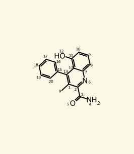 Cc1c(C(N)=O)nc2cccc(O)c2c1-c1ccccc1